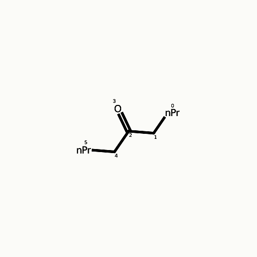 [CH2]CCCC(=O)CCCC